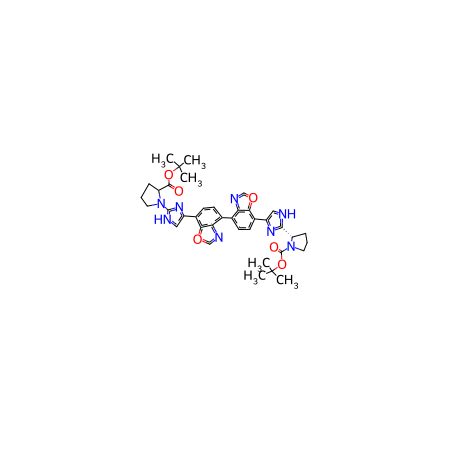 CC(C)(C)OC(=O)C1CCCN1c1nc(-c2ccc(-c3ccc(-c4c[nH]c([C@@H]5CCCN5C(=O)OC(C)(C)C)n4)c4ocnc34)c3ncoc23)c[nH]1